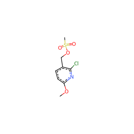 COc1ccc(COS(C)(=O)=O)c(Cl)n1